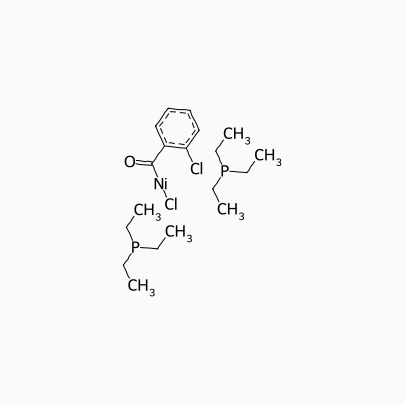 CCP(CC)CC.CCP(CC)CC.O=[C]([Ni][Cl])c1ccccc1Cl